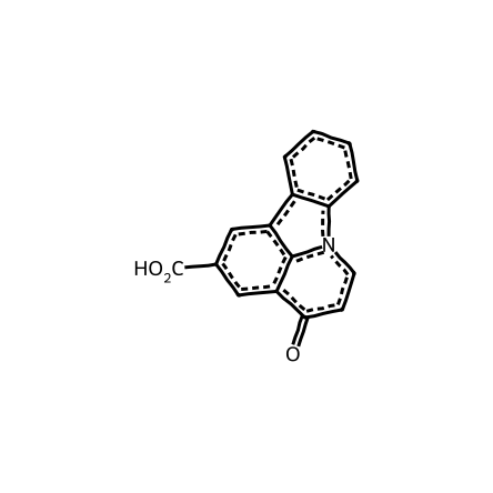 O=C(O)c1cc2c(=O)ccn3c4ccccc4c(c1)c23